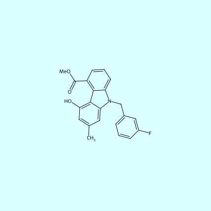 COC(=O)c1cccc2c1c1c(O)cc(C)cc1n2Cc1cccc(F)c1